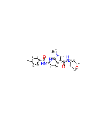 Cc1ccc(C(=O)Nc2ccc3c(C(=O)NC4CCOCC4)cn(C(C)(C)C)c3n2)cc1